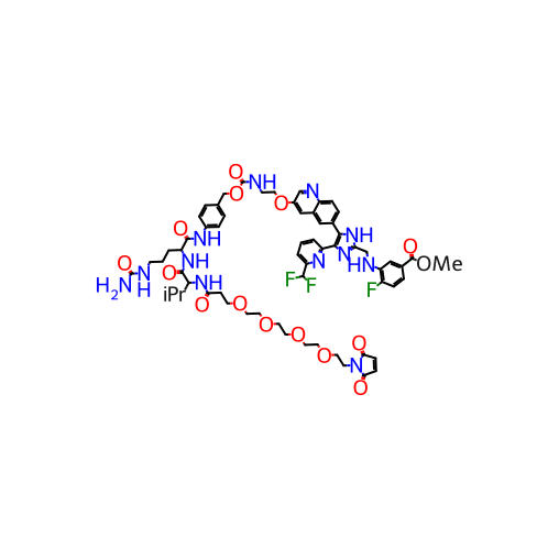 COC(=O)c1ccc(F)c(NCc2nc(-c3cccc(C(F)F)n3)c(-c3ccc4ncc(OCCNC(=O)OCc5ccc(NC(=O)C(CCCNC(N)=O)NC(=O)C(NC(=O)CCOCCOCCOCCOCCN6C(=O)C=CC6=O)C(C)C)cc5)cc4c3)[nH]2)c1